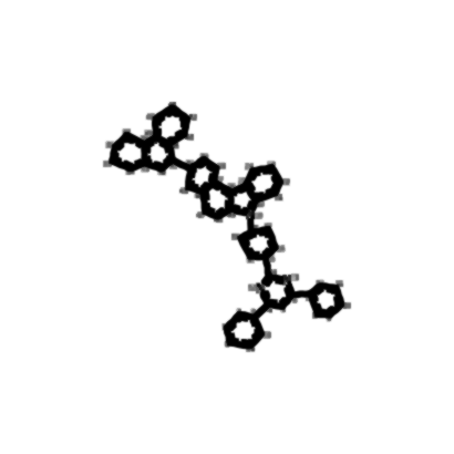 c1ccc(-c2cc(-c3ccccc3)nc(-c3ccc(-n4c5ccccc5c5c6ccc(-c7cc8ccccc8c8ccccc78)cc6ccc54)cc3)n2)cc1